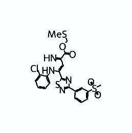 CSCOC(=O)C(=N)/C=C(\Nc1ccccc1Cl)c1nc(-c2cccc(S(C)(=O)=O)c2)ns1